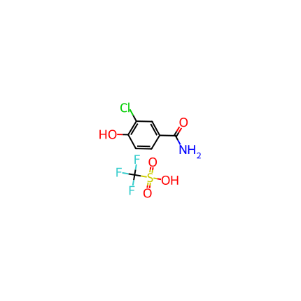 NC(=O)c1ccc(O)c(Cl)c1.O=S(=O)(O)C(F)(F)F